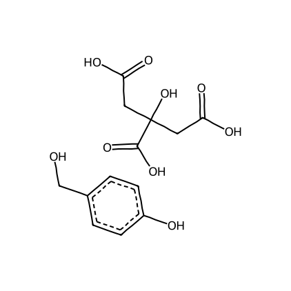 O=C(O)CC(O)(CC(=O)O)C(=O)O.OCc1ccc(O)cc1